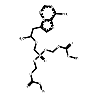 CC(C)OC(=O)OCOP(=O)(COC(C)Cc1cnc2c(N)ncnn12)OCOC(=O)OC(C)C